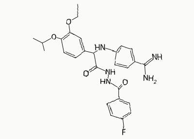 CCOc1cc(C(Nc2ccc(C(=N)N)cc2)C(=O)NNC(=O)c2ccc(F)cc2)ccc1OC(C)C